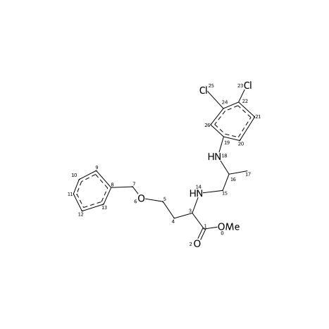 COC(=O)C(CCOCc1ccccc1)NCC(C)Nc1ccc(Cl)c(Cl)c1